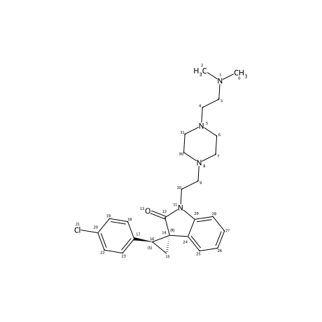 CN(C)CCN1CCN(CCN2C(=O)[C@@]3(C[C@H]3c3ccc(Cl)cc3)c3ccccc32)CC1